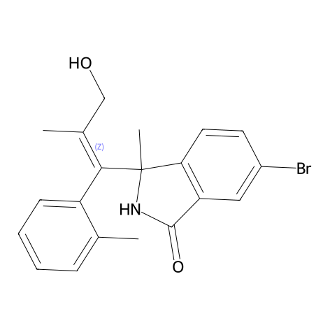 C/C(CO)=C(\c1ccccc1C)C1(C)NC(=O)c2cc(Br)ccc21